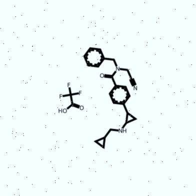 N#CCN(Cc1ccccc1)C(=O)c1ccc(C2CC2NCC2CC2)cc1.O=C(O)C(F)(F)F